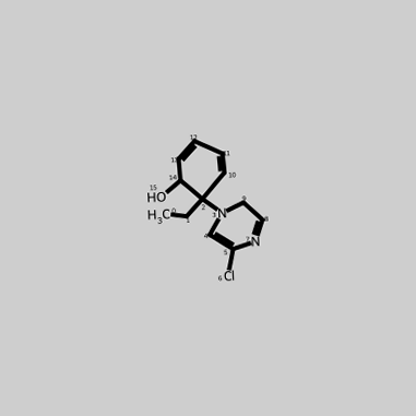 CCC1(N2C=C(Cl)N=CC2)C=CC=CC1O